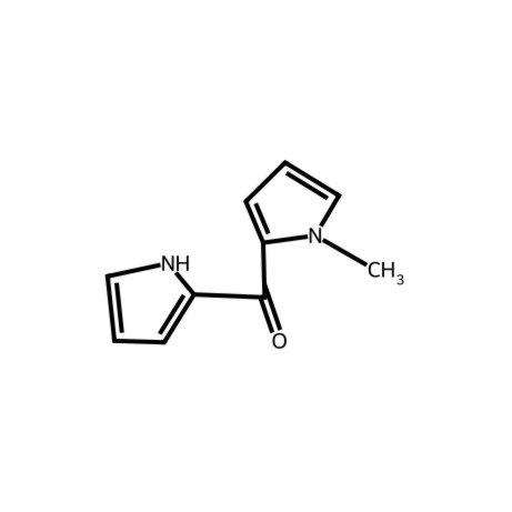 Cn1cccc1C(=O)c1ccc[nH]1